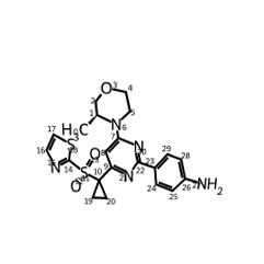 C[C@H]1COCCN1c1cc(C2(S(=O)(=O)c3nccs3)CC2)nc(-c2ccc(N)cc2)n1